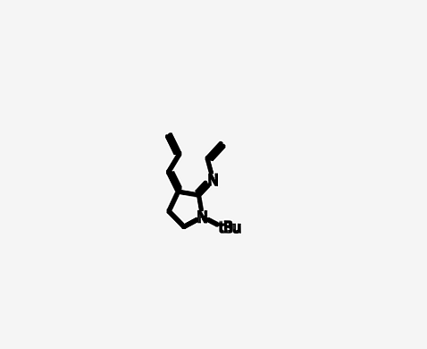 C=C/C=C1/CCN(C(C)(C)C)/C1=N/C=C